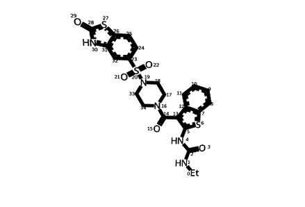 CCNC(=O)Nc1sc2ccccc2c1C(=O)N1CCN(S(=O)(=O)c2ccc3sc(=O)[nH]c3c2)CC1